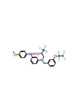 COc1ccc(Nc2cccc(N(Cc3cccc(OC(F)(F)C(F)F)c3)CC(O)C(F)(F)F)c2)cc1